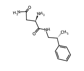 C[C@@H](CNC(=O)[C@H](N)CC(N)=O)c1ccccc1